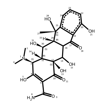 CN(C)[C@@H]1C(O)=C(C(N)=O)C(=O)[C@@]2(O)C(O)C3C(=O)c4c(O)cccc4[C@@](C)(O)[C@H]3[C@H](O)[C@@H]12